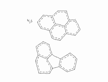 S.[c]1ccc2ccc3cccc4ccc1c2c43.c1ccc2c(c1)-c1cccc3cccc-2c13